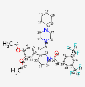 CCOc1ccc(C2(CCN3CCN(C4CCCCC4)CC3)CCCN(C(=O)Cc3cc(C(F)(F)F)cc(C(F)(F)F)c3)C2)cc1OCC